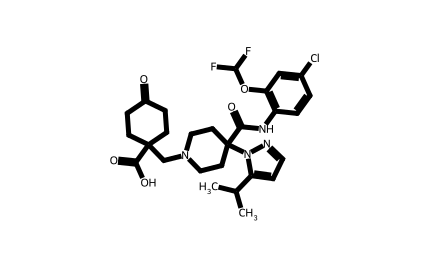 CC(C)c1ccnn1C1(C(=O)Nc2ccc(Cl)cc2OC(F)F)CCN(CC2(C(=O)O)CCC(=O)CC2)CC1